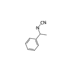 CC([N]C#N)c1ccccc1